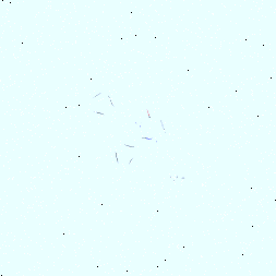 CCc1c(C)nc(-c2cccc(F)c2OCOC)n(CCc2ccccc2F)c1=O